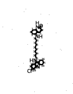 O=c1ccc2c([nH]1)CCCC2NCCCCCCCCCCNc1c2c(nc3cc(Cl)ccc13)CCCC2